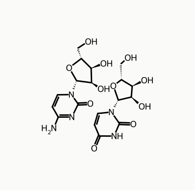 Nc1ccn([C@@H]2O[C@H](CO)[C@@H](O)[C@H]2O)c(=O)n1.O=c1ccn([C@@H]2O[C@H](CO)[C@@H](O)[C@H]2O)c(=O)[nH]1